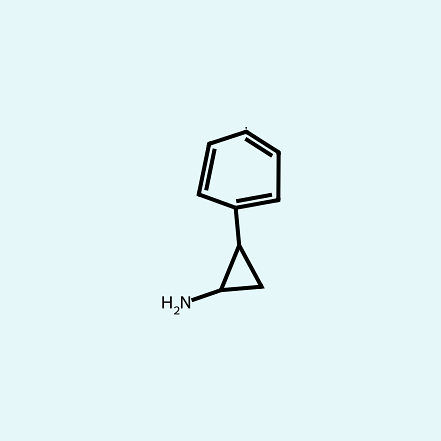 NC1CC1c1cc[c]cc1